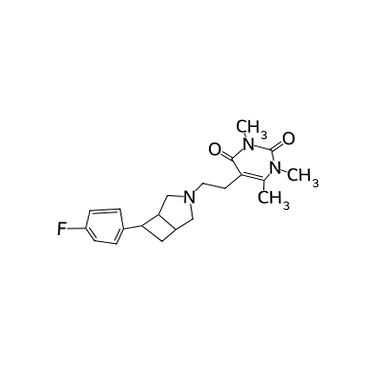 Cc1c(CCN2CC3CC(c4ccc(F)cc4)C3C2)c(=O)n(C)c(=O)n1C